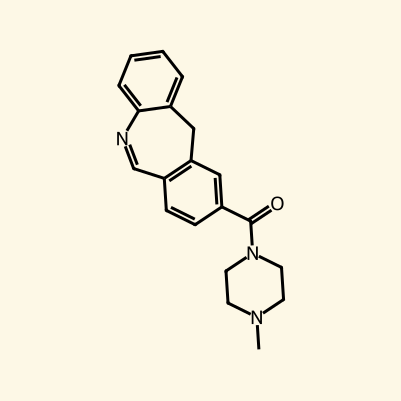 CN1CCN(C(=O)c2ccc3c(c2)Cc2ccccc2N=C3)CC1